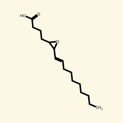 CCCCCCCC/C=C/C1OC1CCCC(=O)O